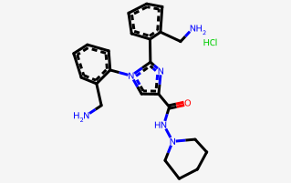 Cl.NCc1ccccc1-c1nc(C(=O)NN2CCCCC2)cn1-c1ccccc1CN